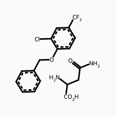 FC(F)(F)c1ccc(OCc2ccccc2)c(Cl)c1.NC(=O)CC(N)C(=O)O